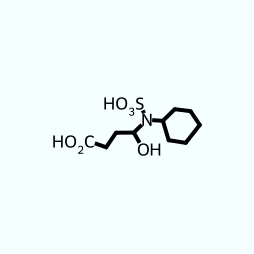 O=C(O)CCC(O)N(C1CCCCC1)S(=O)(=O)O